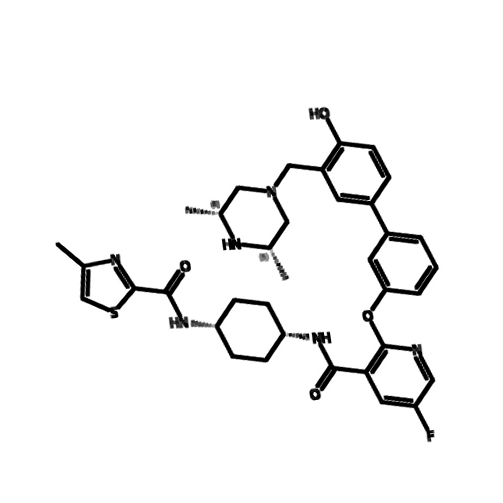 Cc1csc(C(=O)N[C@H]2CC[C@@H](NC(=O)c3cc(F)cnc3Oc3cccc(-c4ccc(O)c(CN5C[C@@H](C)N[C@@H](C)C5)c4)c3)CC2)n1